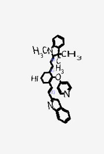 CN1/C(=C/C=C2\CCCC(/C=C/C3=Nc4ccccc4C3)=C2Oc2ccncc2)C(C)(C)c2ccccc21.I